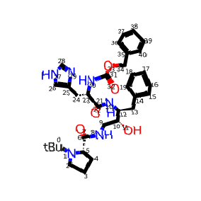 CC(C)(C)N1CCC[C@H]1C(=O)NC[C@@H](O)[C@H](Cc1ccccc1)NC(=O)[C@H](Cc1c[nH]cn1)NC(=O)OCc1ccccc1